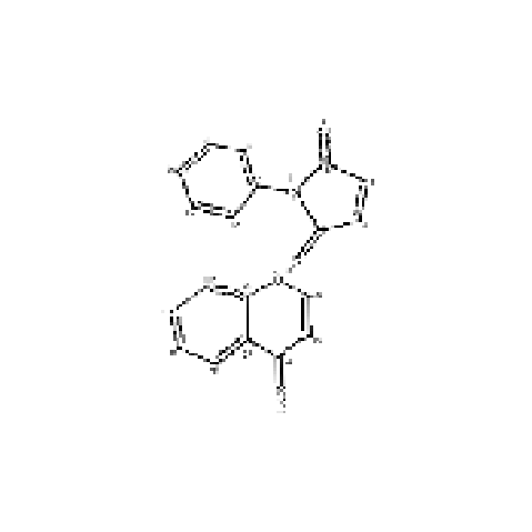 O=C1C=CC(=O)N1c1ccccc1.O=c1ccoc2ccccc12